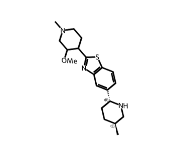 COC1CN(C)CCC1c1nc2cc([C@H]3CC[C@H](C)CN3)ccc2s1